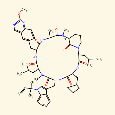 C=CC(C)(C)n1cc(C[C@@H]2NC(=O)[C@H](CC3CCC3)NC(=O)[C@H](CC(C)C)N3CCC[C@@H](C3=O)N(C)C(=O)[C@H](C)NC(=O)[C@H](Cc3ccc4nc(OC)ncc4c3)NC(=O)[C@H](CC(C)C)N(C)C2=O)c2ccccc21